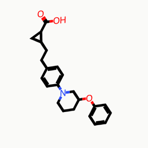 O=C(O)C1CC1CCc1ccc(N2CCCC(Oc3ccccc3)C2)cc1